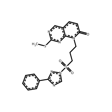 CSc1ncc2ccc(=O)n(CCCS(=O)(=O)n3cnc(-c4ccccc4)n3)c2n1